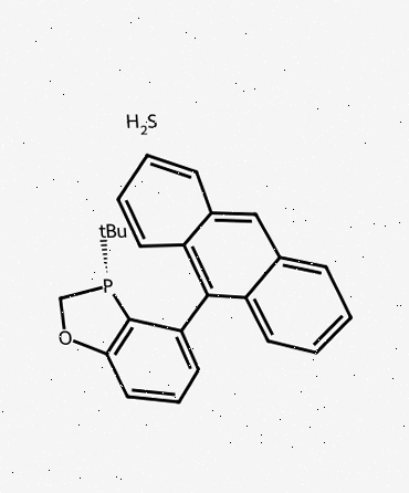 CC(C)(C)[P@@]1COc2cccc(-c3c4ccccc4cc4ccccc34)c21.S